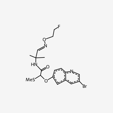 CSC(Oc1ccc2ncc(Br)cc2c1)C(=O)NC(C)(C)C=NOCCF